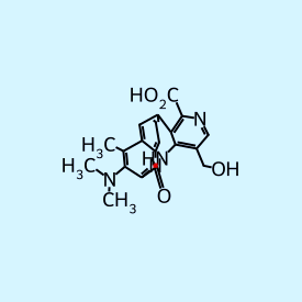 Cc1c(N(C)C)c2nc3ccc(cc13)c1c(C(=O)O)ncc(CO)c1[nH]c2=O